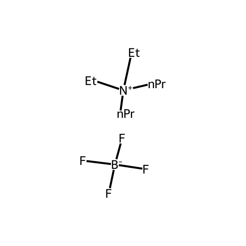 CCC[N+](CC)(CC)CCC.F[B-](F)(F)F